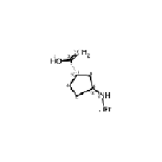 C=C(O)[C@H]1CC[C@H](NC(C)C)C1